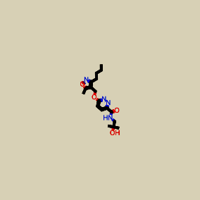 CCCCc1noc(C)c1COc1ccc(C(=O)NCC(C)(C)O)nn1